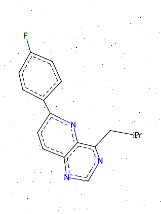 CC(C)Cc1ncnc2ccc(-c3ccc(F)cc3)nc12